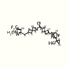 Cn1nc(CC2CC3(C2)CN(C(=O)N2CC4(CC(n5cnc(C6(O)CC6)n5)C4)C2)C3)cc1C(F)(F)F